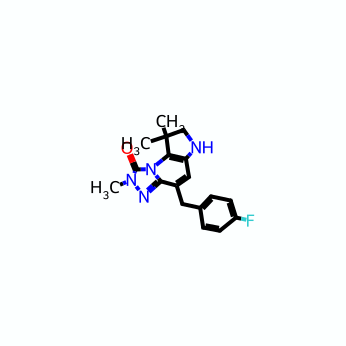 Cn1nc2c(Cc3ccc(F)cc3)cc3c(n2c1=O)C(C)(C)CN3